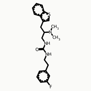 CN(C)C(CNC(=O)NCCc1cccc(F)c1)Cc1csc2ccccc12